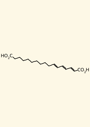 O=C(O)C=CC=CC=CCCCCCCCCCC(=O)O